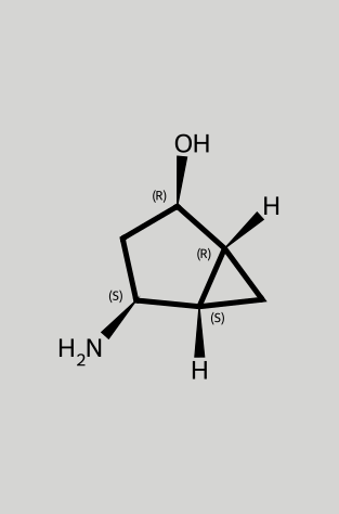 N[C@H]1C[C@@H](O)[C@@H]2C[C@@H]21